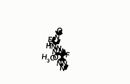 COc1nc(N[C@@H]2CCN(C3COC3)CC2(F)F)nn2cc(F)c(-c3cnc4nccn4c3)c12